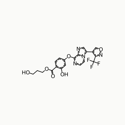 O=C(OCCCO)c1ccc(Oc2nccn3c(-c4conc4C(F)(F)F)cnc23)cc1O